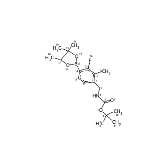 Cc1c(CNC(=O)OC(C)(C)C)ccc(B2OC(C)C(C)(C)O2)c1F